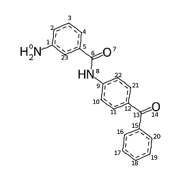 Nc1cccc(C(=O)Nc2ccc(C(=O)c3ccccc3)cc2)c1